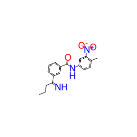 CCCC(=N)c1cccc(C(=O)Nc2ccc(C)c([N+](=O)[O-])c2)c1